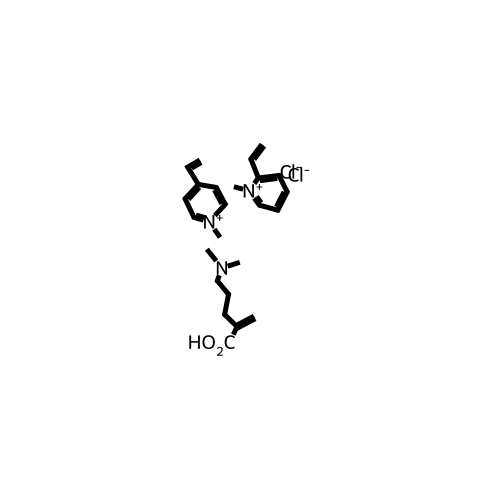 C=C(CCCN(C)C)C(=O)O.C=Cc1cc[n+](C)cc1.C=Cc1cccc[n+]1C.[Cl-].[Cl-]